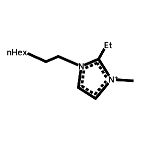 CCCCCCCCn1cc[n+](C)c1CC